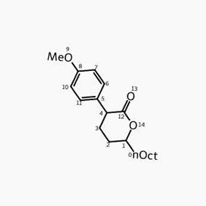 CCCCCCCCC1CCC(c2ccc(OC)cc2)C(=O)O1